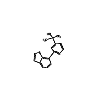 OC(c1ccnc(-c2cccc3ccsc23)c1)(C(F)(F)F)C(F)(F)F